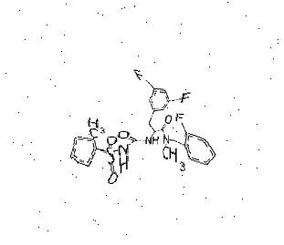 Cc1ccccc1S(=O)(=O)NC(=O)NC(Cc1cc(F)cc(F)c1)C(=O)N(C)c1ccccc1F